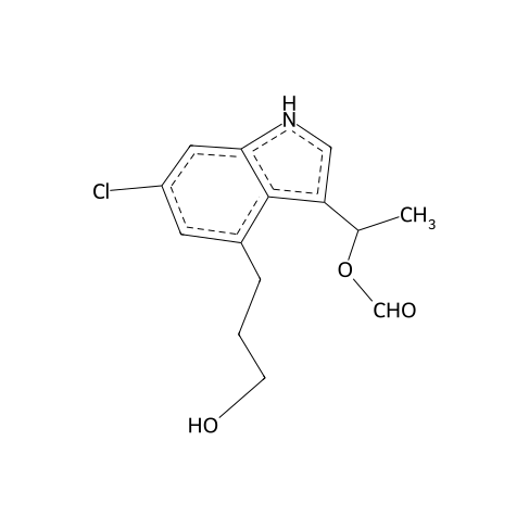 CC(OC=O)c1c[nH]c2cc(Cl)cc(CCCO)c12